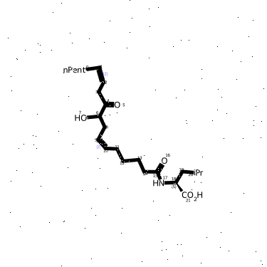 CCCCC/C=C\CC(=O)C(O)C/C=C\CCCCC(=O)N[C@@H](CC(C)C)C(=O)O